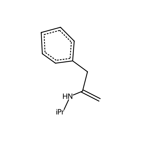 C=C(Cc1ccccc1)NC(C)C